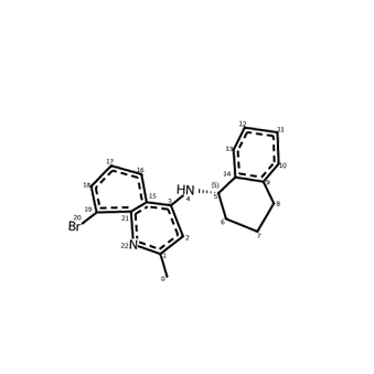 Cc1cc(N[C@H]2CCCc3ccccc32)c2cccc(Br)c2n1